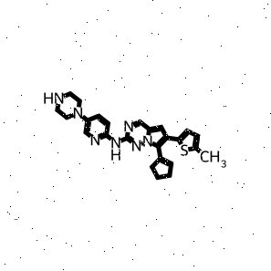 Cc1ccc(-c2cc3cnc(Nc4ccc(N5CCNCC5)cn4)nn3c2C2=CCCC2)s1